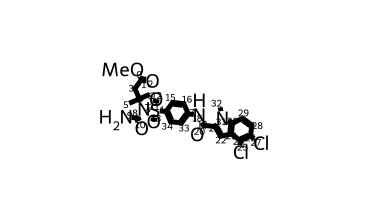 COC(=O)CC(C)(C)N(C(N)=O)S(=O)(=O)c1ccc(NC(=O)c2cc3c(Cl)c(Cl)ccc3n2C)cc1